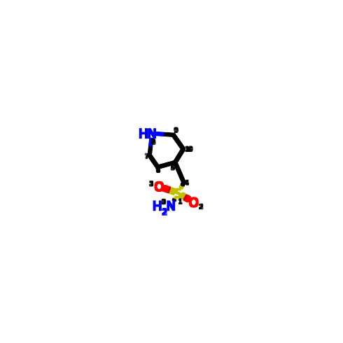 NS(=O)(=O)CC1CCNCC1